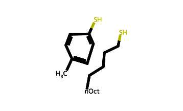 CCCCCCCCCCCCS.Cc1ccc(S)cc1